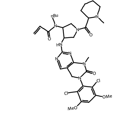 C=CC(=O)N(CCCC)C1CN(C(=O)C2CCCCN2C)CC1Nc1ncc2c(n1)N(C)C(=O)N(c1c(Cl)c(OC)cc(OC)c1Cl)C2